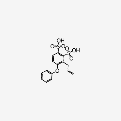 C=CCc1c(Oc2ccccc2)ccc(S(=O)(=O)O)c1S(=O)(=O)O